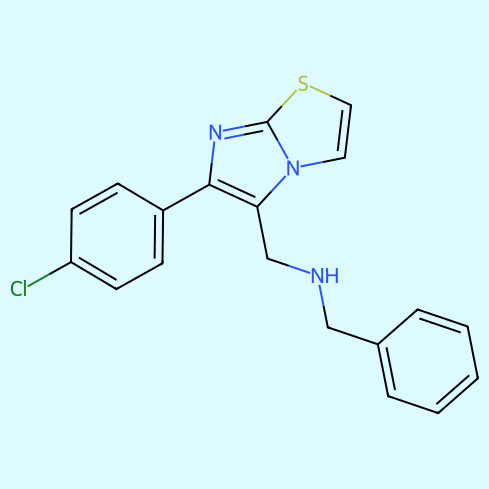 Clc1ccc(-c2nc3sccn3c2CNCc2ccccc2)cc1